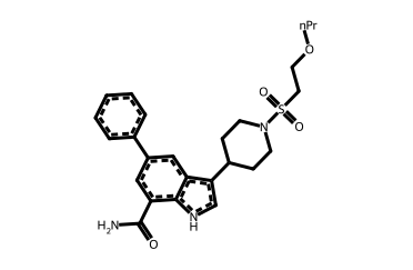 CCCOCCS(=O)(=O)N1CCC(c2c[nH]c3c(C(N)=O)cc(-c4ccccc4)cc23)CC1